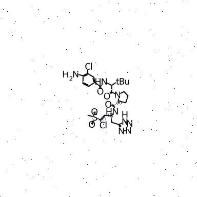 CC(C)(C)C(NC(=O)c1ccc(N)c(Cl)c1)C(=O)N1CCC[C@@H]1C(=O)N[C@H](/C=C(\Cl)S(C)(=O)=O)Cc1nnn[nH]1